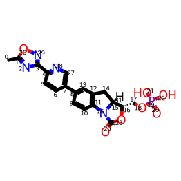 Cc1nc(-c2ccc(-c3ccc4c(c3)C[C@H]3[C@H](COP(=O)(O)O)OC(=O)N43)cn2)no1